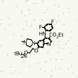 CCOC(=O)c1cnc2cc(OCCO[Si](C)(C)C(C)(C)C)c(N3CCN(C)CC3)cc2c1Nc1ccc(F)cc1F